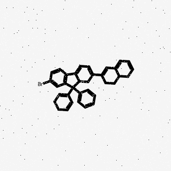 Brc1ccc2c(c1)C(C1=CCCC=C1)(c1ccccc1)C1CC(C3=CC4=CC=CCC4CC3)=CC=C21